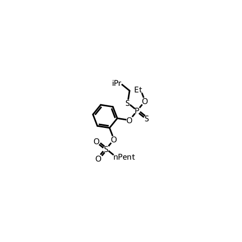 CCCCCS(=O)(=O)Oc1ccccc1OP(=S)(OCC)SCC(C)C